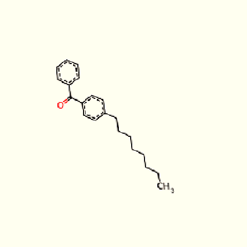 CCCCCCCCc1ccc(C(=O)c2ccccc2)cc1